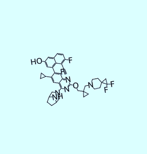 C#Cc1c(F)ccc2cc(O)cc(-c3c(C4CC4)cc4c(N5CC6CCC(C5)N6)nc(OCC5(CN6CCC7(CC6)CC7(F)F)CC5)nc4c3F)c12